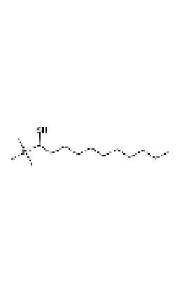 CCCCCCCCCCC(S)[N+](C)(C)C